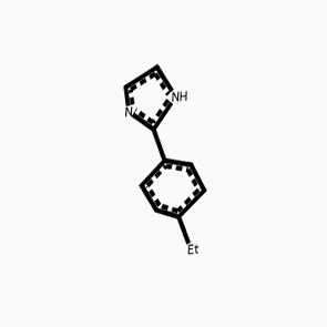 CCc1ccc(-c2ncc[nH]2)cc1